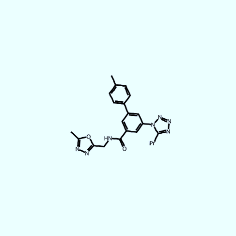 Cc1ccc(-c2cc(C(=O)NCc3nnc(C)o3)cc(-n3nnnc3C(C)C)c2)cc1